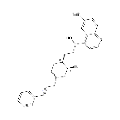 CC[C@H]1CN(C/C=C/c2ccccc2)CC[C@H]1CCC(O)c1ccnc2ccc(OC)cc12